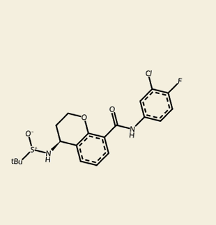 CC(C)(C)[S+]([O-])N[C@H]1CCOc2c(C(=O)Nc3ccc(F)c(Cl)c3)cccc21